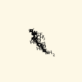 Cn1c(-c2cn(C3CCC3)nc2C(F)(F)F)cnc1C(=O)Nc1ccc(C(=O)NC2CC(N)C2)c(Cl)c1